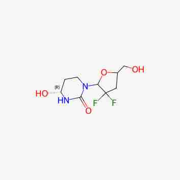 O=C1N[C@H](O)CCN1C1OC(CO)CC1(F)F